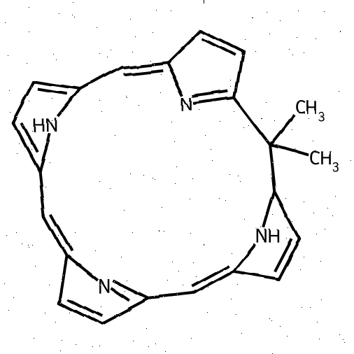 CC1(C)C2=NC(=Cc3ccc([nH]3)C=C3C=CC(=N3)C=C3C=CC1N3)C=C2